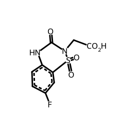 O=C(O)CN1C(=O)Nc2ccc(F)cc2S1(=O)=O